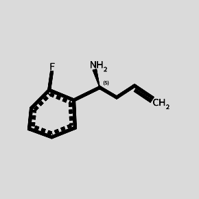 C=CC[C@H](N)c1ccccc1F